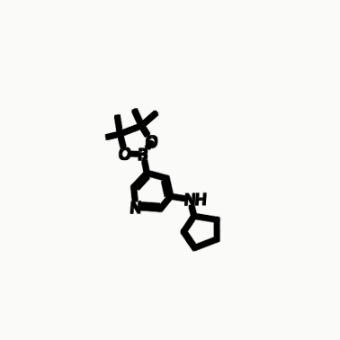 CC1(C)OB(c2cncc(NC3CCCC3)c2)OC1(C)C